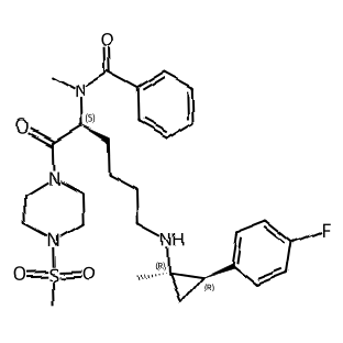 CN(C(=O)c1ccccc1)[C@@H](CCCCN[C@]1(C)C[C@@H]1c1ccc(F)cc1)C(=O)N1CCN(S(C)(=O)=O)CC1